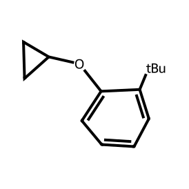 CC(C)(C)c1ccccc1OC1CC1